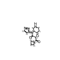 O=C(C1OC2CCNCC2N(n2ccnn2)C1=O)N1CCC1